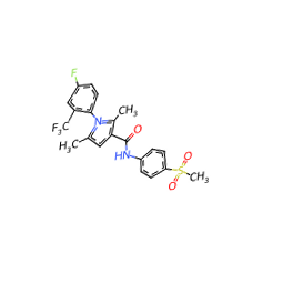 Cc1cc(C(=O)Nc2ccc(S(C)(=O)=O)cc2)c(C)n1-c1ccc(F)cc1C(F)(F)F